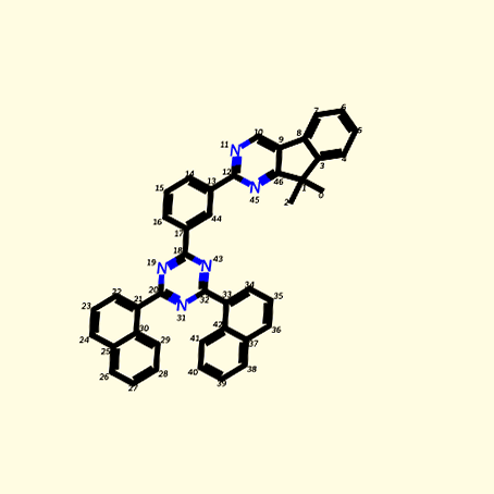 CC1(C)c2ccccc2-c2cnc(-c3cccc(-c4nc(-c5cccc6ccccc56)nc(-c5cccc6ccccc56)n4)c3)nc21